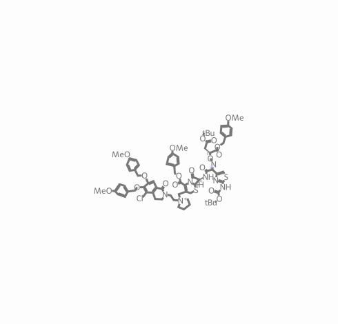 COc1ccc(COC(=O)C2=C(C[N+]3(CCN4CCc5c(cc(OCc6ccc(OC)cc6)c(OCc6ccc(OC)cc6)c5Cl)C4=O)CCCC3)CS[C@@H]3[C@H](NC(=O)/C(=N\O[C@@H](CC(=O)OC(C)(C)C)C(=O)OCc4ccc(OC)cc4)c4csc(NC(=O)OC(C)(C)C)n4)C(=O)N23)cc1